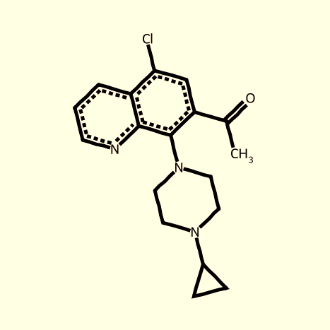 CC(=O)c1cc(Cl)c2cccnc2c1N1CCN(C2CC2)CC1